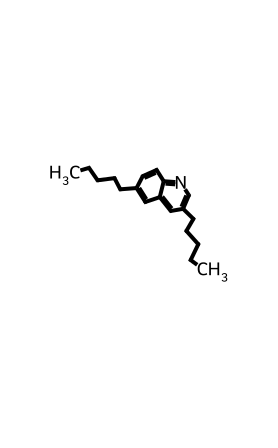 CCCCCc1ccc2ncc(CCCCC)cc2c1